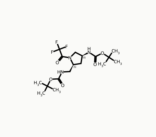 CC(C)(C)OC(=O)NC[C@@H]1C[C@H](NC(=O)OC(C)(C)C)CN1C(=O)C(F)(F)F